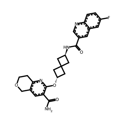 NC(=O)c1cc2c(nc1O[C@H]1CC3(C[C@H](NC(=O)c4cnc5ccc(F)cc5c4)C3)C1)CCOC2